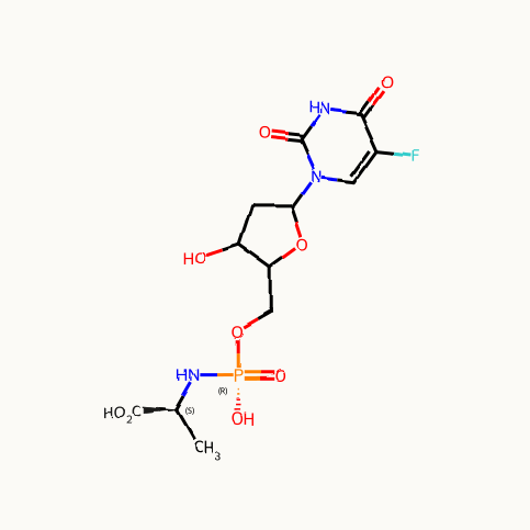 C[C@H](N[P@@](=O)(O)OCC1OC(n2cc(F)c(=O)[nH]c2=O)CC1O)C(=O)O